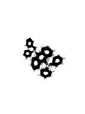 c1ccc(CN(c2ccccc2)c2c3ccccc3c(N(c3ccccc3)c3ccccc3)c3ccccc23)cc1